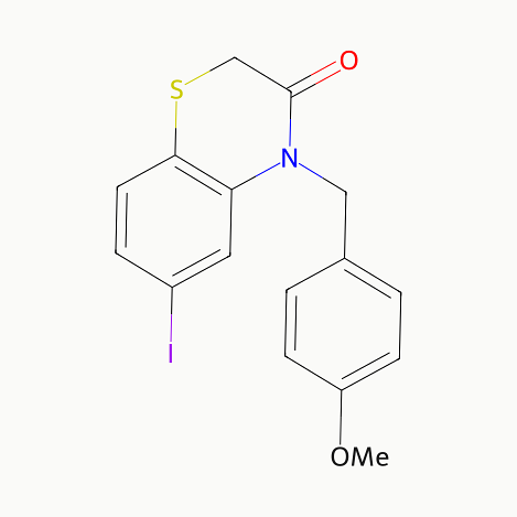 COc1ccc(CN2C(=O)CSc3ccc(I)cc32)cc1